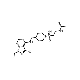 CCn1nc(Cl)c2c(NCC3CCN(S(=N)(=O)CCNC(C)=O)CC3)ccnc21